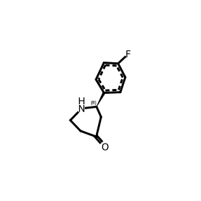 O=C1CCN[C@@H](c2ccc(F)cc2)C1